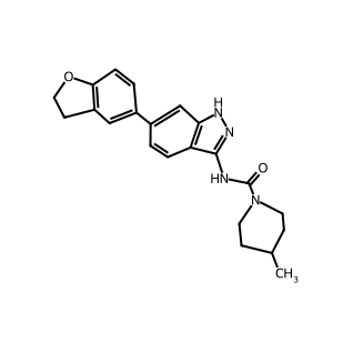 CC1CCN(C(=O)Nc2n[nH]c3cc(-c4ccc5c(c4)CCO5)ccc23)CC1